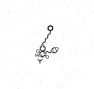 CC(C)C[C@@H]1NC(=O)C2(CCN(CCCCCCc3ccccc3)CC2)N(CCN2CCOCC2)C1=O